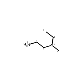 CN(CI)CCN